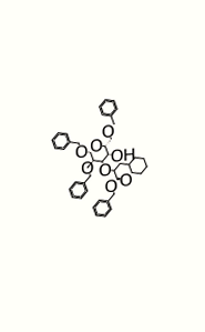 O=C(OCc1ccccc1)C(CC1CCCCC1)O[C@H]1[C@@H](O)[C@@H](COCc2ccccc2)O[C@@H](OCc2ccccc2)[C@@H]1OCc1ccccc1